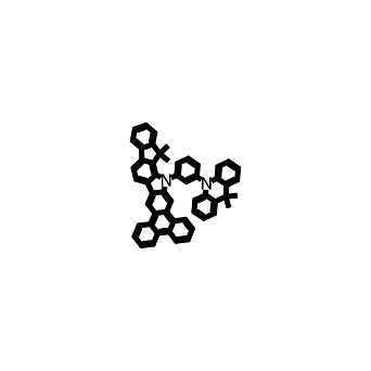 CC1(C)c2ccccc2N(c2cccc(-n3c4cc5c6ccccc6c6ccccc6c5cc4c4ccc5c(c43)C(C)(C)c3ccccc3-5)c2)c2ccccc21